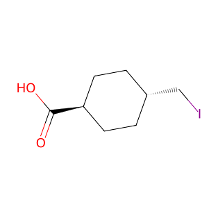 O=C(O)[C@H]1CC[C@H](CI)CC1